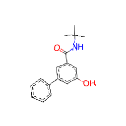 CC(C)(C)NC(=O)c1cc(O)cc(-c2ccccc2)c1